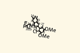 COc1cc(OC)c(Cl)c(-c2cc3cnc(C)cc3c(N3CCC(F)(F)C3)n2)c1C